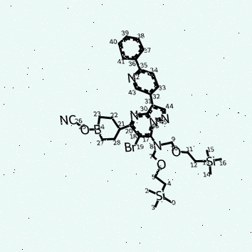 C[Si](C)(C)CCOCN(COCC[Si](C)(C)C)c1c(Br)c(C2CCB(OC#N)CC2)nc2c(-c3ccc(-c4ccccc4)nc3)cnn12